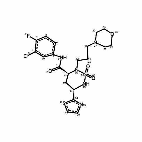 O=C(Nc1ccc(F)c(Cl)c1)[C@@H]1C[C@H](c2nccs2)NS(=O)(=O)N1CCCN1CCOCC1